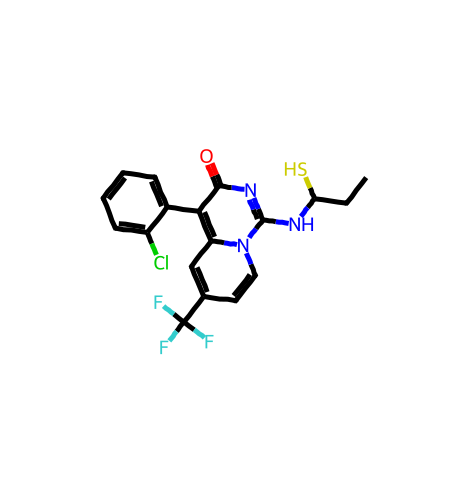 CCC(S)Nc1nc(=O)c(-c2ccccc2Cl)c2cc(C(F)(F)F)ccn12